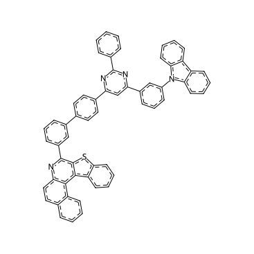 c1ccc(-c2nc(-c3ccc(-c4cccc(-c5nc6ccc7ccccc7c6c6c5sc5ccccc56)c4)cc3)cc(-c3cccc(-n4c5ccccc5c5ccccc54)c3)n2)cc1